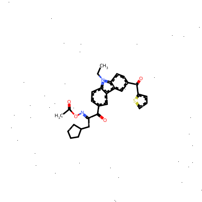 CCn1c2ccc(C(=O)C(CC3CCCC3)=NOC(C)=O)cc2c2cc(C(=O)c3cccs3)ccc21